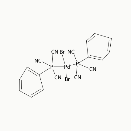 N#C[P](C#N)(C#N)(c1ccccc1)[Pd]([Br])([Br])[P](C#N)(C#N)(C#N)c1ccccc1